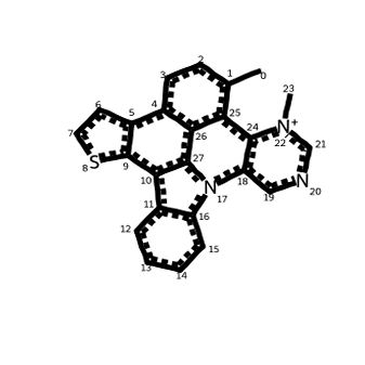 Cc1ccc2c3ccsc3c3c4ccccc4n4c5cnc[n+](C)c5c1c2c34